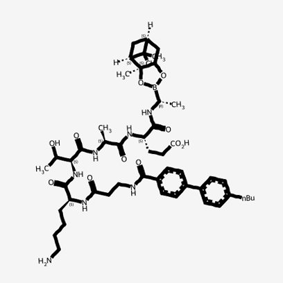 CCCCc1ccc(-c2ccc(C(=O)NCCC(=O)N[C@@H](CCCCN)C(=O)N[C@H](C(=O)N[C@@H](C)C(=O)N[C@@H](CCC(=O)O)C(=O)N[C@@H](C)B3OC4C[C@@H]5C[C@@H](C5(C)C)[C@]4(C)O3)C(C)O)cc2)cc1